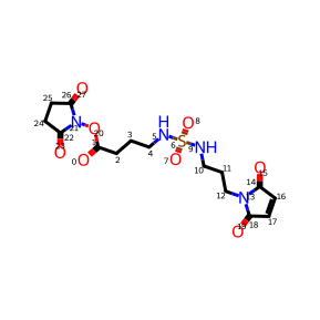 O=C(CCCNS(=O)(=O)NCCCN1C(=O)C=CC1=O)ON1C(=O)CCC1=O